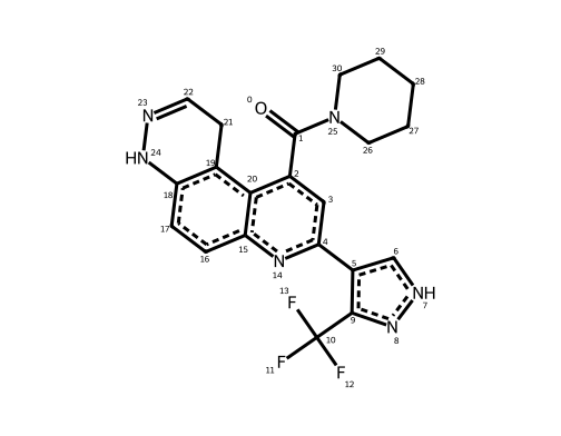 O=C(c1cc(-c2c[nH]nc2C(F)(F)F)nc2ccc3c(c12)CC=NN3)N1CCCCC1